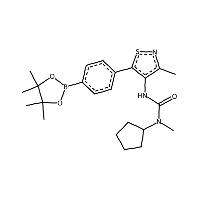 Cc1nsc(-c2ccc(B3OC(C)(C)C(C)(C)O3)cc2)c1NC(=O)N(C)C1CCCC1